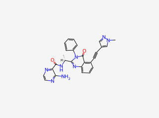 C[C@@H](NC(=O)c1nccnc1N)c1nc2cccc(C#Cc3cnn(C)c3)c2c(=O)n1-c1ccccc1